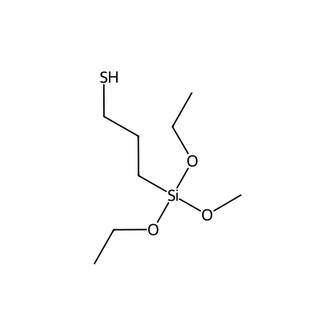 CCO[Si](CCCS)(OC)OCC